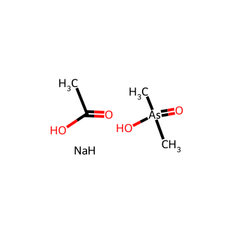 CC(=O)O.C[As](C)(=O)O.[NaH]